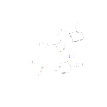 C[C@@H](Oc1cc(Nc2cc(COC(=O)C(C)(C)C)ccc2N)sc1C(=O)O)c1ccccc1Cl